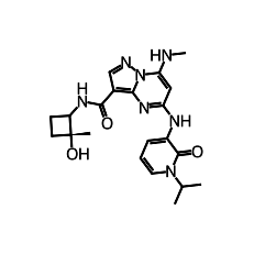 CNc1cc(Nc2cccn(C(C)C)c2=O)nc2c(C(=O)NC3CC[C@@]3(C)O)cnn12